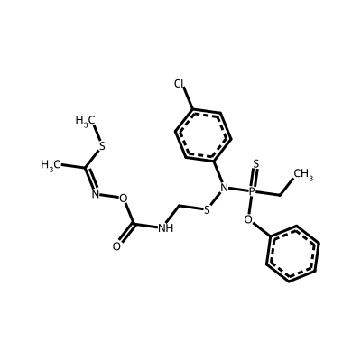 CCP(=S)(Oc1ccccc1)N(SCNC(=O)ON=C(C)SC)c1ccc(Cl)cc1